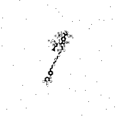 CCn1nc(C2CC2)cc1Nc1nc(C(=O)NCCOCCOCCOCCCc2ccc(SC3CCC(=O)NC3=O)cc2)nc2[nH]c3cc(-c4c(C)noc4C)c(OC)cc3c12